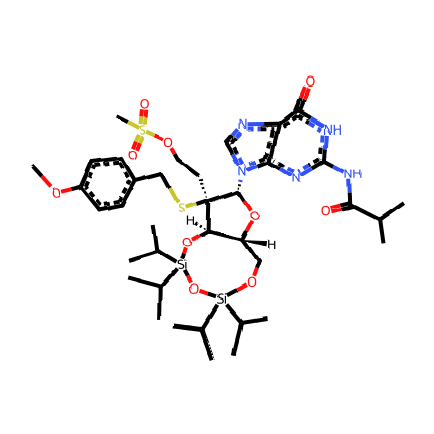 COc1ccc(CS[C@]2(CCOS(C)(=O)=O)[C@@H]3O[Si](C(C)C)(C(C)C)O[Si](C(C)C)(C(C)C)OC[C@H]3O[C@H]2n2cnc3c(=O)[nH]c(NC(=O)C(C)C)nc32)cc1